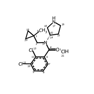 CC1(CN(C(=O)c2cccc(Cl)c2Cl)[C@H]2CCNC2)CC1.Cl